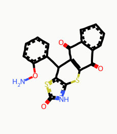 NOc1ccccc1C1C2=C(Sc3[nH]c(=O)sc31)C(=O)c1ccccc1C2=O